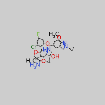 COc1cc(C(=O)NCC(O)(c2cc3c(c(-c4ccc(F)cc4Cl)n2)OC[C@]3(C)C(N)=O)C2CC2)cc2cn(C3CC3)nc12